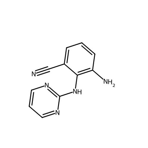 N#Cc1cccc(N)c1Nc1ncccn1